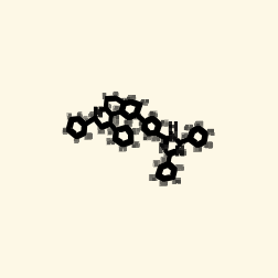 C1=CC2N=C(c3ccccc3)C=C(c3ccccc3)C2c2cc(-c3ccc(C4=NC(c5ccccc5)=NC(c5ccccc5)N4)cc3)ccc21